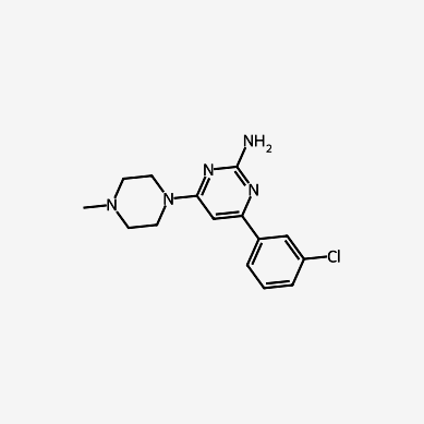 CN1CCN(c2cc(-c3cccc(Cl)c3)nc(N)n2)CC1